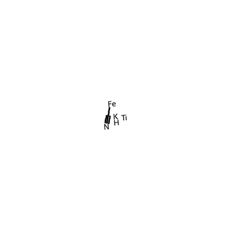 N#[C][Fe].[KH].[Ti]